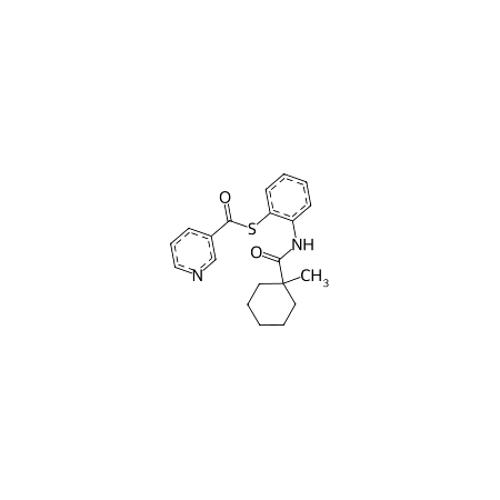 CC1(C(=O)Nc2ccccc2SC(=O)c2cccnc2)CCCCC1